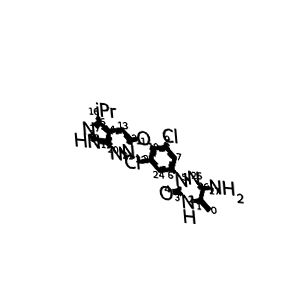 C=C1NC(=O)N(c2cc(Cl)c(Oc3cc4c(C(C)C)n[nH]c4nn3)c(Cl)c2)N=C1N